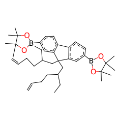 C=CCCC(CC)CC1(CC(CC)CCC=C)c2cc(B3OC(C)(C)C(C)(C)O3)ccc2-c2ccc(B3OC(C)(C)C(C)(C)O3)cc21